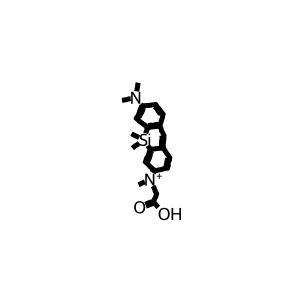 CN(C)c1ccc2c(c1)[Si](C)(C)C1=C/C(=[N+](\C)CC(=O)O)C=CC1=C2